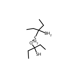 BC(CC)(CC)[SH2]OC(S)(CC)CC